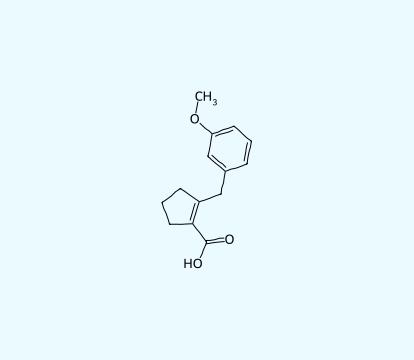 COc1cccc(CC2=C(C(=O)O)CCC2)c1